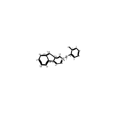 Cc1cccc[c]1[Ir-][n+]1ccc2c(c1)Cc1ccccc1-2